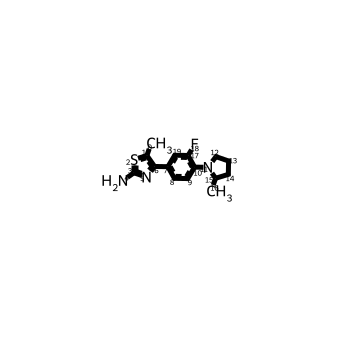 Cc1sc(N)nc1-c1ccc(N2CCCC2C)c(F)c1